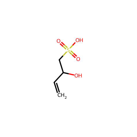 C=CC(O)CS(=O)(=O)O